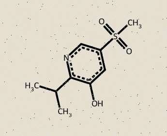 CC(C)c1ncc(S(C)(=O)=O)cc1O